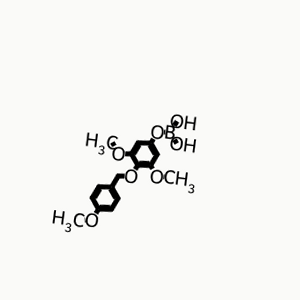 COc1ccc(COc2c(OC)cc(OB(O)O)cc2OC)cc1